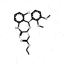 CCOC(=O)C[C@H]1O[C@H](c2cccc(OC)c2OC)c2c(Cl)cccc2NC1=S